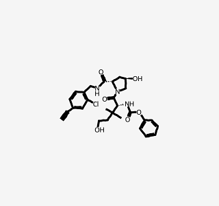 C#Cc1ccc(CNC(=O)[C@@H]2C[C@@H](O)CN2C(=O)[C@H](NC(=O)Oc2ccccc2)C(C)(C)CCO)c(Cl)c1